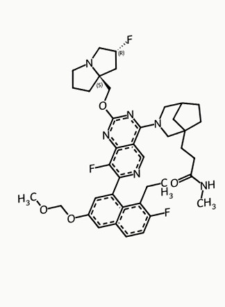 CCc1c(F)ccc2cc(OCOC)cc(-c3ncc4c(N5CC6CCC(CCC(=O)NC)(C6)C5)nc(OC[C@@]56CCCN5C[C@H](F)C6)nc4c3F)c12